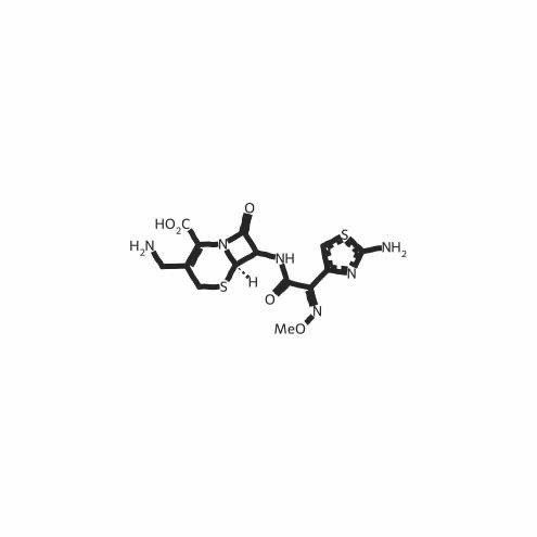 CO/N=C(\C(=O)NC1C(=O)N2C(C(=O)O)=C(CN)CS[C@H]12)c1csc(N)n1